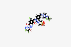 O=C(NNC(=O)C(F)F)c1ccc(CN(C(=O)N2CCS(=O)(=O)CC2)c2ccc(CN3CCN(CC(F)(F)F)CC3)cc2)c(F)c1